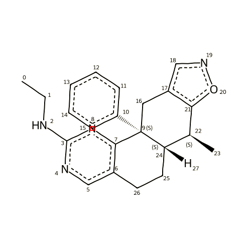 CCNc1ncc2c(n1)[C@@]1(c3ccccc3)Cc3cnoc3[C@@H](C)[C@@H]1CC2